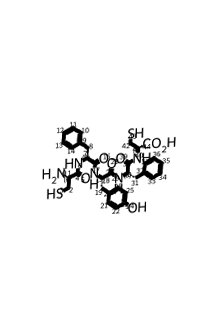 N[C@@H](CS)C(=O)N[C@@H](Cc1ccccc1)C(=O)N[C@@H](Cc1ccc(O)cc1)C(=O)N[C@@H](Cc1ccccc1)C(=O)N[C@@H](CS)C(=O)O